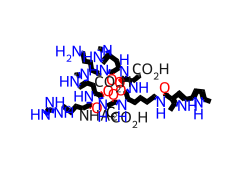 CC(=O)NC(CCCNC(=N)N)C(=O)NC(Cc1c[nH]cn1)C(=O)NC(CC(=O)O)C(=O)NC(CCCCNC(=O)c1cc(-c2ccc(C)[nH]2)[nH]c1C)C(=O)NC(CC(=O)O)C(=O)NC(Cc1c[nH]cn1)C(=O)NC(CCCCN)C(=O)O